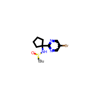 CC(C)(C)[S+]([O-])NC1(c2ncc(Br)cn2)CCCC1